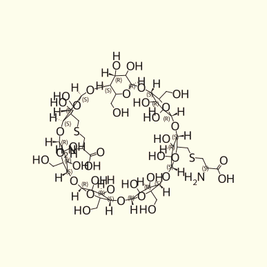 NC(CSCC1O[C@@H]2O[C@@H]3C(CO)O[C@H](O[C@@H]4C(CO)O[C@H](O[C@@H]5C(CSC[C@@H](N)C(=O)O)O[C@H](O[C@@H]6C(CO)O[C@H](O[C@@H]7C(CO)O[C@H](O[C@@H]8C(CO)O[C@H](O[C@H]1[C@H](O)C2O)C(O)[C@H]8O)C(O)[C@H]7O)C(O)[C@H]6O)C(O)[C@H]5O)C(O)[C@H]4O)C(O)[C@H]3O)C(=O)O